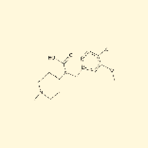 COc1cc(CN(C(=O)O)C2CCN(C)CC2)ccc1Cl